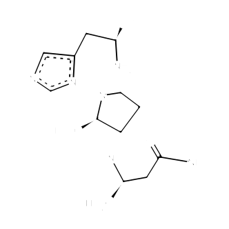 NC(=O)C[C@H](N)C(=O)O.N[C@@H](Cc1c[nH]cn1)C(=O)O.O=C(O)[C@@H]1CCCN1